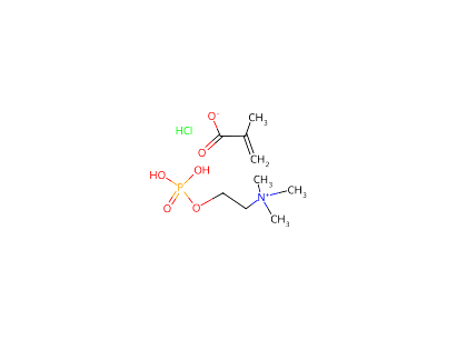 C=C(C)C(=O)[O-].C[N+](C)(C)CCOP(=O)(O)O.Cl